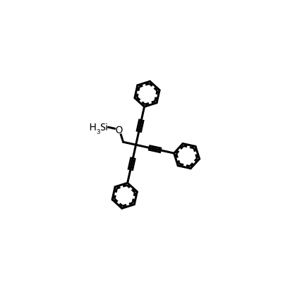 [SiH3]OCC(C#Cc1ccccc1)(C#Cc1ccccc1)C#Cc1ccccc1